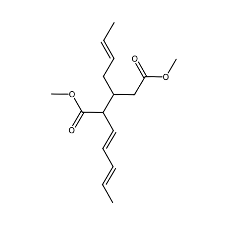 CC=CC=CC(C(=O)OC)C(CC=CC)CC(=O)OC